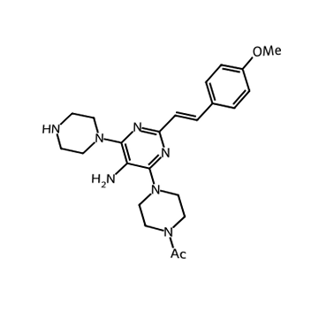 COc1ccc(C=Cc2nc(N3CCNCC3)c(N)c(N3CCN(C(C)=O)CC3)n2)cc1